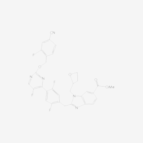 COC(=O)c1ccc2nc(Cc3cc(F)c(-c4nc(OCc5ccc(C#N)cc5F)ncc4F)cc3F)n(CC3CCO3)c2c1